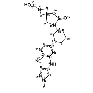 Cn1cc(Nc2nc(N3CCC[C@@H](N4CC5(CN(C(=O)O)C5)OC4=O)C3)cnc2C#N)cn1